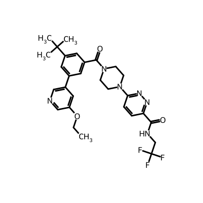 CCOc1cncc(-c2cc(C(=O)N3CCN(c4ccc(C(=O)NCC(F)(F)F)nn4)CC3)cc(C(C)(C)C)c2)c1